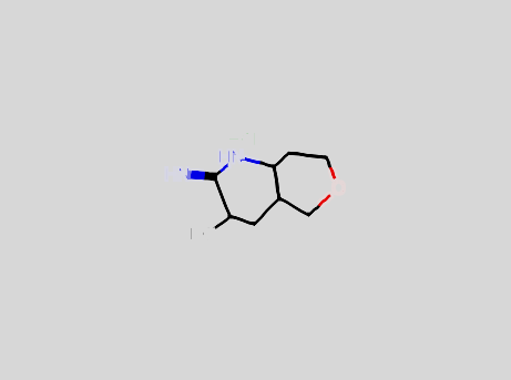 CC1CC2COCCC2NC1=N.Cl